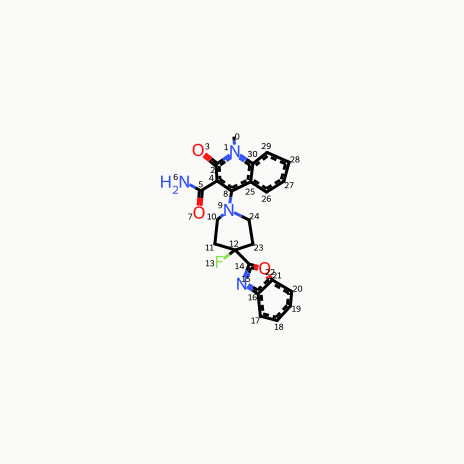 Cn1c(=O)c(C(N)=O)c(N2CCC(F)(c3nc4ccccc4o3)CC2)c2ccccc21